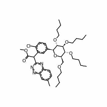 CCCCOC[C@H]1O[C@@H](c2ccc(Cl)c(C(C(=O)OC)c3nnc4cc(C)ccc4n3)c2)[C@H](OCCCC)[C@@H](OCCCC)[C@@H]1OCCCC